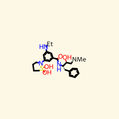 CCNc1cc(C(=O)N[C@@H](Cc2ccccc2)[C@@H](O)CNC)cc(N2CCCCS2(O)O)c1